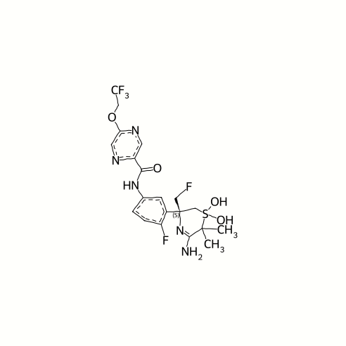 CC1(C)C(N)=N[C@](CF)(c2cc(NC(=O)c3cnc(OCC(F)(F)F)cn3)ccc2F)CS1(O)O